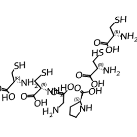 NCC(=O)O.N[C@@H](CS)C(=O)O.N[C@@H](CS)C(=O)O.N[C@@H](CS)C(=O)O.N[C@@H](CS)C(=O)O.O=C(O)[C@@H]1CCCN1